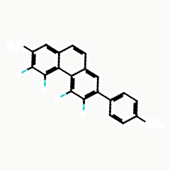 Cc1ccc(-c2cc3ccc4cc(C)c(F)c(F)c4c3c(F)c2F)cc1